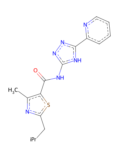 Cc1nc(CC(C)C)sc1C(=O)Nc1nnc(-c2ccccn2)[nH]1